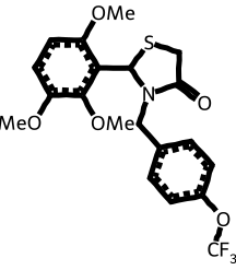 COc1ccc(OC)c(C2SCC(=O)N2Cc2ccc(OC(F)(F)F)cc2)c1OC